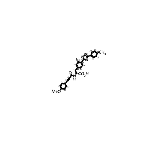 COc1ccc(C#CC(=O)N[C@H](Cc2ccc(-c3noc(-c4ccc(C)cc4)n3)c(F)c2)C(=O)O)cc1